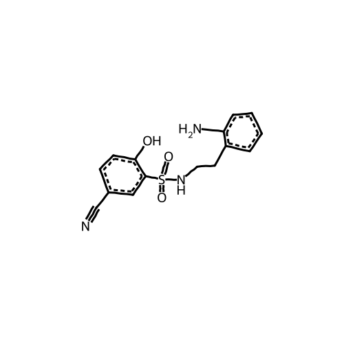 N#Cc1ccc(O)c(S(=O)(=O)NCCc2ccccc2N)c1